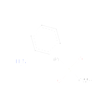 COS(=O)(=O)C(C)C.Nc1ccccc1